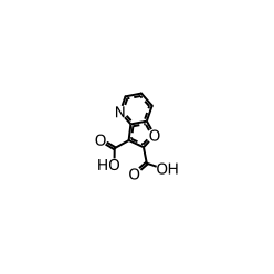 O=C(O)c1oc2cccnc2c1C(=O)O